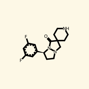 O=C1N2[C@H](c3cc(F)cc(F)c3)CCN2CC12CCNCC2